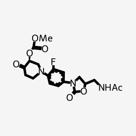 COC(=O)O[C@H]1CN(c2ccc(N3CC(CNC(C)=O)OC3=O)cc2F)CCC1=O